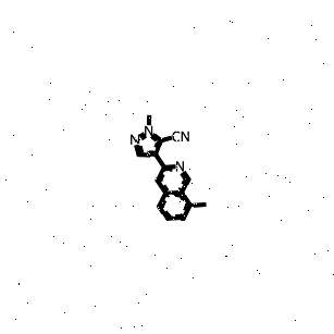 Cc1cccc2cc(-c3cnn(C)c3C#N)ncc12